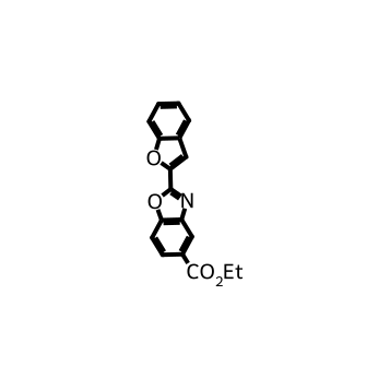 CCOC(=O)c1ccc2oc(-c3cc4ccccc4o3)nc2c1